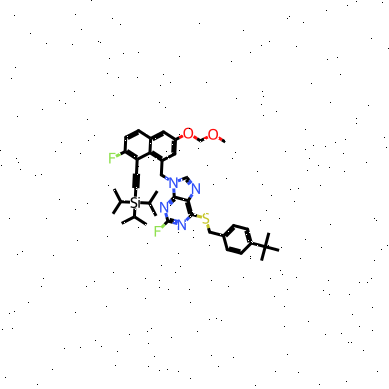 COCOc1cc(Cn2cnc3c(SCc4ccc(C(C)(C)C)cc4)nc(F)nc32)c2c(C#C[Si](C(C)C)(C(C)C)C(C)C)c(F)ccc2c1